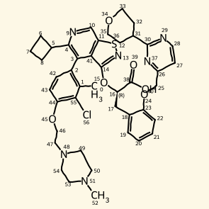 Cc1c(-c2c(C3CCC3)ncc3snc(O[C@H](Cc4ccccc4OCc4ccnc(C5CCOCC5)n4)C(=O)O)c23)ccc(OCCN2CCN(C)CC2)c1Cl